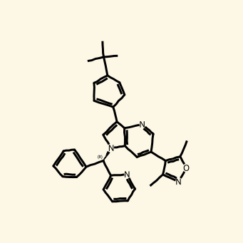 Cc1noc(C)c1-c1cnc2c(-c3ccc(C(C)(C)C)cc3)cn([C@H](c3ccccc3)c3ccccn3)c2c1